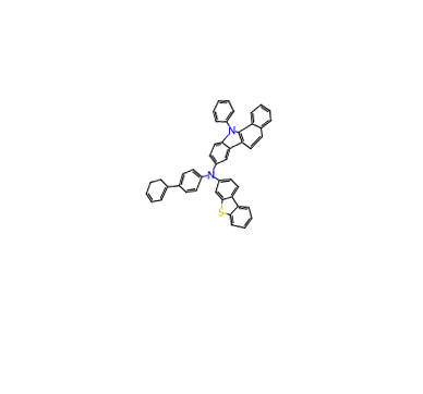 C1=CCCC(c2ccc(N(c3ccc4c(c3)sc3ccccc34)c3ccc4c(c3)c3ccc5ccccc5c3n4-c3ccccc3)cc2)=C1